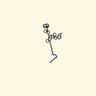 CCCCC/C=C\C/C=C\CCCCCCCC(=O)OCC(COC(=O)CC12CC3CC(CC(C3)C1)C2)COC(=O)OC1CCCN(CC)C1